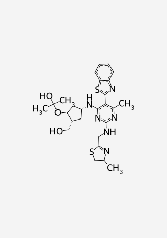 Cc1nc(NCC2=NC(C)CS2)nc(N[C@@H]2C[C@H](CO)[C@@H](OC(C)(C)O)C2)c1-c1nc2ccccc2s1